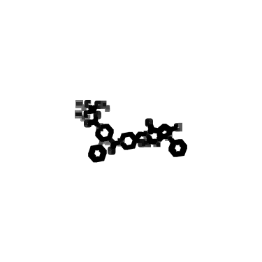 CC(C)(C)OC(=O)N1CC[C@@H](C(=O)N2CCC(O)(Cn3cnc4c(cc(Cl)n4-c4ccccc4)c3=O)CC2)[C@H](c2ccccc2)C1